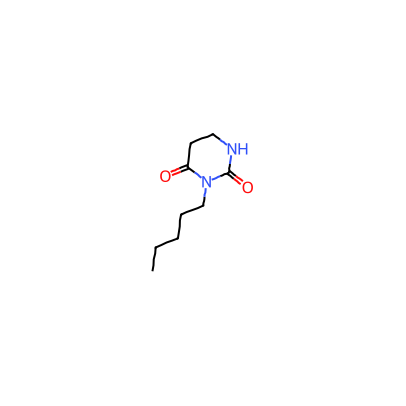 CCCCCN1C(=O)CCNC1=O